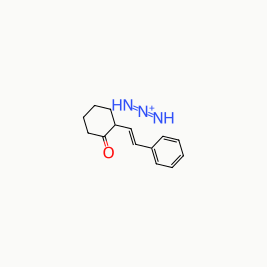 N=[N+]=N.O=C1CCCCC1C=Cc1ccccc1